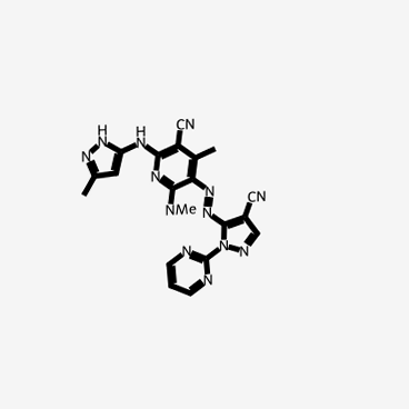 CNc1nc(Nc2cc(C)n[nH]2)c(C#N)c(C)c1/N=N/c1c(C#N)cnn1-c1ncccn1